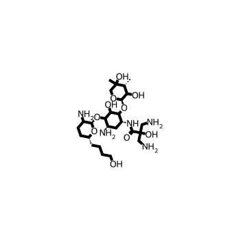 C[C@@H]1C(O)[C@@H](OC2C(O)C(O[C@H]3O[C@H](CCCCO)CCC3N)[C@@H](N)C[C@H]2NC(=O)C(O)(CN)CN)OCC1(C)O